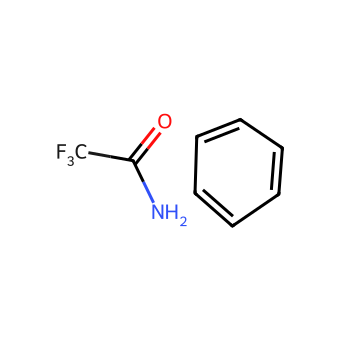 NC(=O)C(F)(F)F.c1ccccc1